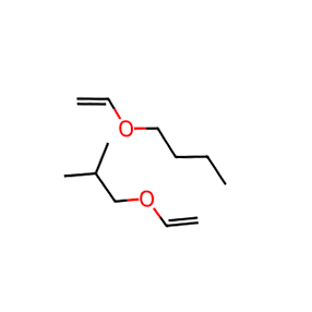 C=COCC(C)C.C=COCCCC